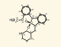 Cl.O=S1(=O)N(CC2CNCCO2)c2ccccc2N1c1ccccc1OC(F)(F)F